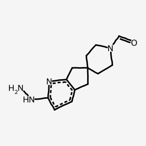 NNc1ccc2c(n1)CC1(CCN(C=O)CC1)C2